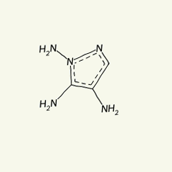 Nc1cnn(N)c1N